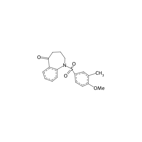 COc1ccc(S(=O)(=O)N2CCCC(=O)c3ccccc32)cc1C